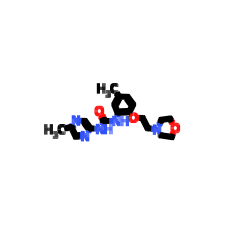 Cc1ccc(OCCN2CCOCC2)c(NC(=O)Nc2cnc(C)cn2)c1